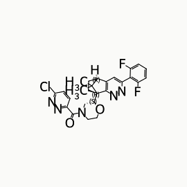 CC1(C)[C@H]2CC[C@]1([C@H]1CN(C(=O)c3ccc(Cl)nn3)CCO1)c1nnc(-c3c(F)cccc3F)cc12